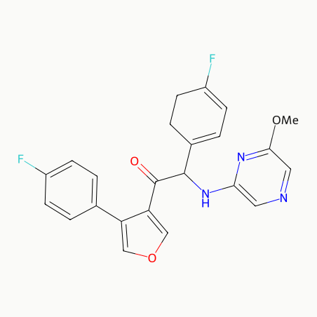 COc1cncc(NC(C(=O)c2cocc2-c2ccc(F)cc2)C2=CC=C(F)CC2)n1